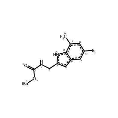 CC(C)(C)OC(=O)NCc1cc2cc(Br)cc(C(F)(F)F)c2[nH]1